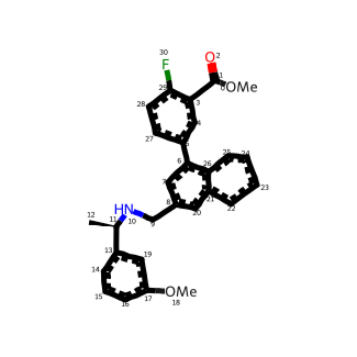 COC(=O)c1cc(-c2cc(CN[C@H](C)c3cccc(OC)c3)cc3ccccc23)ccc1F